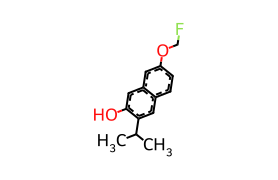 CC(C)c1cc2ccc(OCF)cc2cc1O